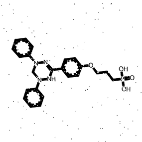 O=P(O)(O)CCCOc1ccc(C2=NN(c3ccccc3)CN(c3ccccc3)N2)cc1